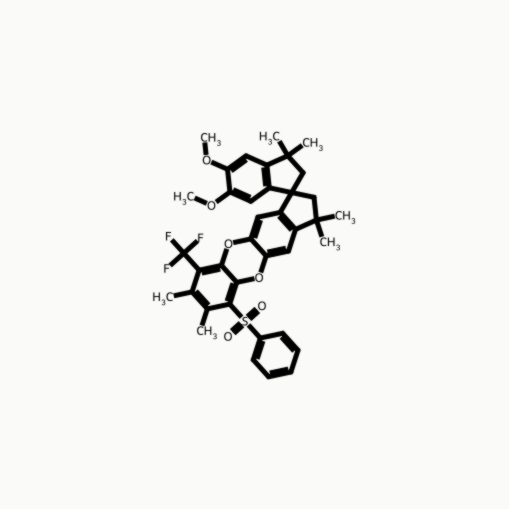 COc1cc2c(cc1OC)C1(CC2(C)C)CC(C)(C)c2cc3c(cc21)Oc1c(c(S(=O)(=O)c2ccccc2)c(C)c(C)c1C(F)(F)F)O3